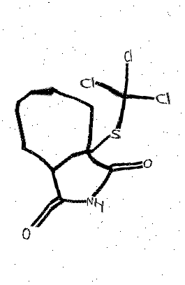 O=C1NC(=O)C2(SC(Cl)(Cl)Cl)CCCCC12